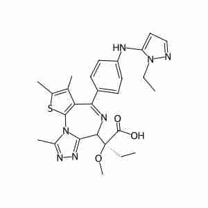 CCn1nccc1Nc1ccc(C2=NC([C@](CC)(OC)C(=O)O)c3nnc(C)n3-c3sc(C)c(C)c32)cc1